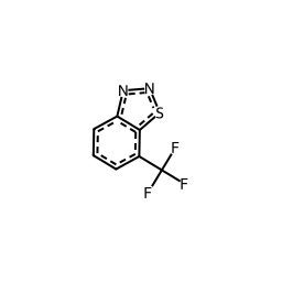 FC(F)(F)c1cccc2nnsc12